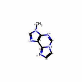 Cn1cnc2c1ncn1ccnc21